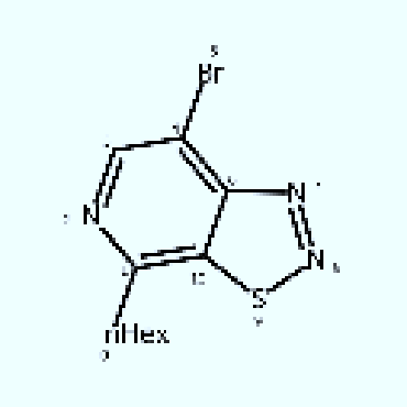 CCCCCCc1ncc(Br)c2nnsc12